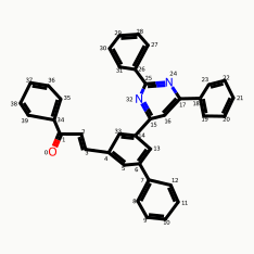 O=C(/C=C/c1cc(-c2ccccc2)cc(-c2cc(-c3ccccc3)nc(-c3ccccc3)n2)c1)c1ccccc1